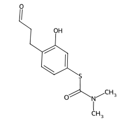 CN(C)C(=O)Sc1ccc(CCC=O)c(O)c1